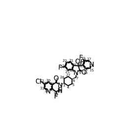 O=C(N[C@H]1CC[C@H](CN2C(=O)C(O)(c3ccncc3F)c3ccc(F)cc32)CC1)c1cc(Cl)cnc1C(F)F